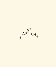 [Al+3].[N-3].[SiH4].[Ti]